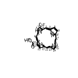 C1=Cc2cc3ccc(cc4nc(cc5ccc(cc1n2)[nH]5)C=C4)[nH]3.O=CO.[Cu]